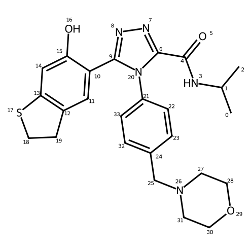 CC(C)NC(=O)c1nnc(-c2cc3c(cc2O)SCC3)n1-c1ccc(CN2CCOCC2)cc1